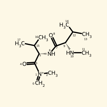 C=[N+](C)C(=O)[C@@H](NC(=O)[C@@H](NC)C(C)C)C(C)C